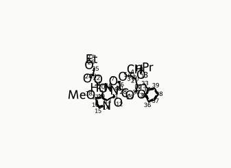 CCCO[C@H]1[C@H](C)OC(=O)[C@@H](N(N)C(=O)c2nccc(OC)c2OCOC(=O)COCC)COC(=O)[C@@H]1Cc1ccccc1